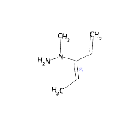 C=C/C(=C/C)N(C)N